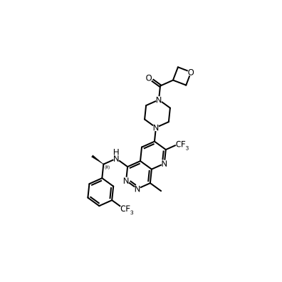 Cc1nnc(N[C@H](C)c2cccc(C(F)(F)F)c2)c2cc(N3CCN(C(=O)C4COC4)CC3)c(C(F)(F)F)nc12